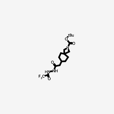 CC(C)(C)OC(=O)N1CC2(CCC(CC(=O)NNC(=O)C(F)(F)F)CC2)C1